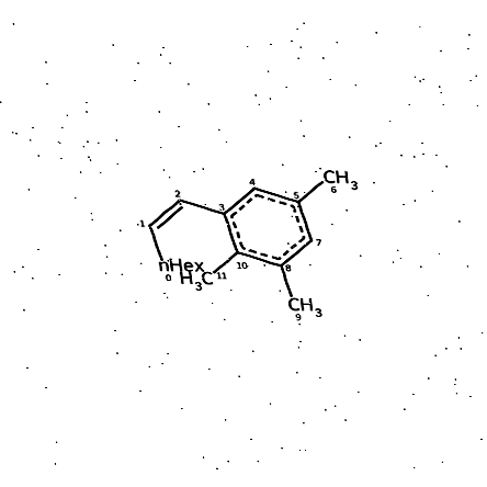 CCCCCC/C=[C]\c1cc(C)cc(C)c1C